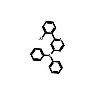 CCC(C)c1ccccc1-c1cc(N(c2ccccc2)c2ccccc2)ccn1